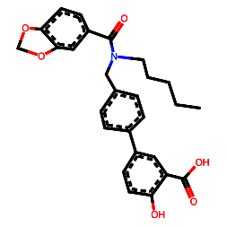 CCCCCN(Cc1ccc(-c2ccc(O)c(C(=O)O)c2)cc1)C(=O)c1ccc2c(c1)OCO2